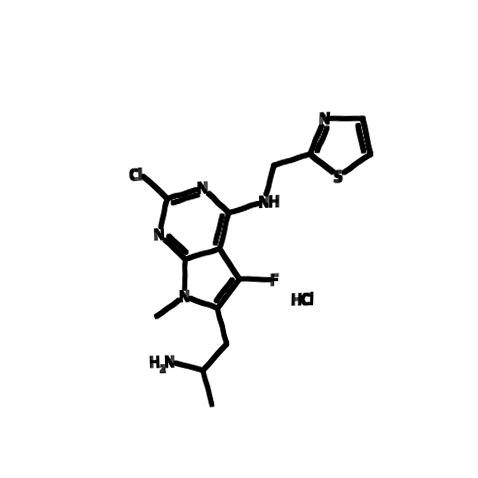 CC(N)Cc1c(F)c2c(NCc3nccs3)nc(Cl)nc2n1C.Cl